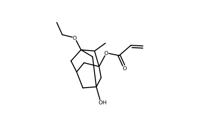 C=CC(=O)OC12CC3CC(O)(CC(OCC)(C3)C1C)C2